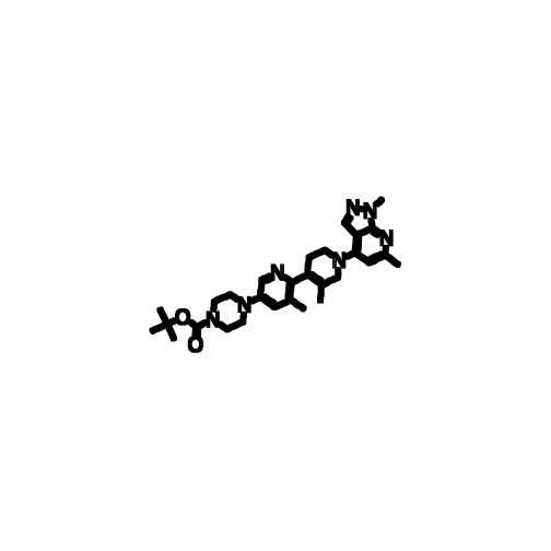 CC1=C(c2ncc(N3CCN(C(=O)OC(C)(C)C)CC3)cc2C)CCN(c2cc(C)nc3c2cnn3C)C1